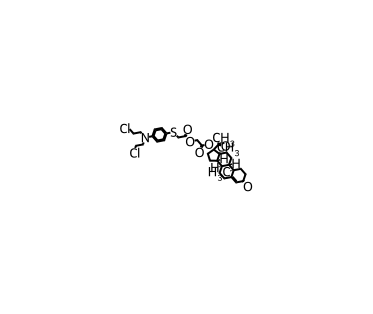 CC(=O)[C@@]1(OC(=O)COC(=O)CSc2ccc(N(CCCl)CCCl)cc2)CC[C@H]2[C@@H]3CCC4=CC(=O)CC[C@]4(C)[C@H]3CC[C@@]21C